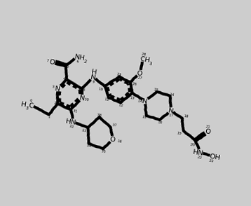 CCc1nc(C(N)=O)c(Nc2ccc(N3CCN(CCC(=O)NO)CC3)c(OC)c2)nc1NC1CCOCC1